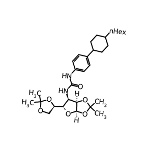 CCCCCCC1CCC(c2ccc(NC(=O)N[C@H]3[C@H]4OC(C)(C)O[C@H]4O[C@@H]3[C@H]3COC(C)(C)O3)cc2)CC1